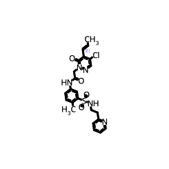 C/C=C/c1c(Cl)cnn(CC(=O)Nc2ccc(C)c(S(=O)(=O)NCCc3ccccn3)c2)c1=O